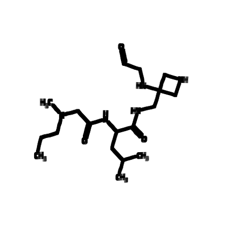 CCCN(C)CC(=O)NC(CC(C)C)C(=O)NCC1(NCC=O)CNC1